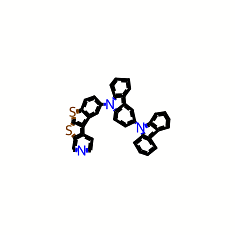 c1ccc2c(c1)c1ccccc1n2-c1ccc2c(c1)c1ccccc1n2-c1ccc2sc3sc4cnccc4c3c2c1